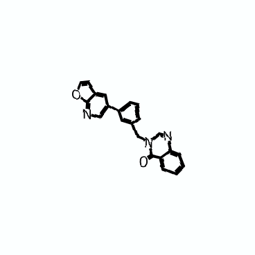 O=c1c2ccccc2ncn1Cc1cccc(-c2cnc3occc3c2)c1